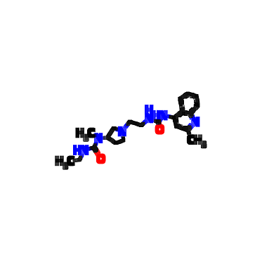 CCNC(=O)N(C)C1CCN(CCNC(=O)Nc2cc(C)nc3ccccc23)C1